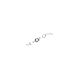 CCCCCC1CCC(OC(=O)c2ccc(C3OCC(CCC)CO3)c(F)c2)CC1